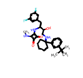 CNc1c(NC(Cc2cc(F)cc(F)c2)C(O)CNC2(c3cccc(C(C)(C)C)c3)CCCCC2)c(=O)c1=O